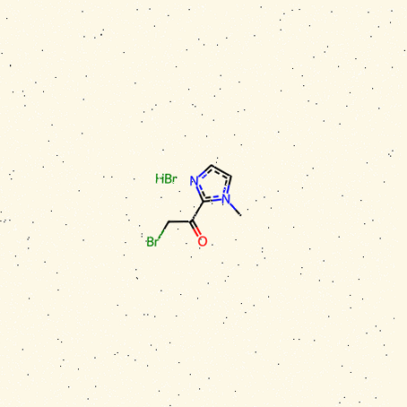 Br.Cn1ccnc1C(=O)CBr